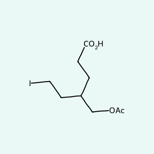 CC(=O)OCC(CCI)CCC(=O)O